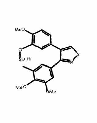 COc1ccc(-c2csnc2-c2cc(C)c(OC)c(OC)c2)cc1OS(=O)(=O)O